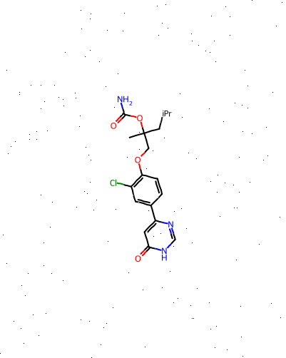 CC(C)CC(C)(COc1ccc(-c2cc(=O)[nH]cn2)cc1Cl)OC(N)=O